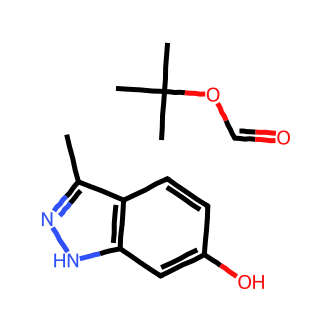 CC(C)(C)OC=O.Cc1n[nH]c2cc(O)ccc12